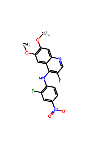 COc1cc2ncc(F)c(Nc3ccc([N+](=O)[O-])cc3F)c2cc1OC